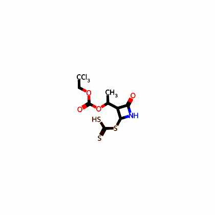 CC(OC(=O)OCC(Cl)(Cl)Cl)C1C(=O)NC1SC(=S)S